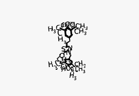 CC(C)(C)c1cc(CCc2nn(Cc3cc(C(C)(C)C)c(O)c(C(C)(C)C)c3)c(=O)s2)cc(C(C)(C)C)c1O